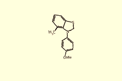 COc1ccc(N2CSc3cccc(C)c32)cc1